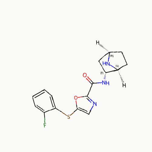 O=C(N[C@@H]1C[C@H]2CC[C@@H]1N2)c1ncc(Sc2ccccc2F)o1